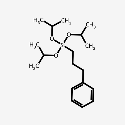 CC(C)O[Si](CCCc1ccccc1)(OC(C)C)OC(C)C